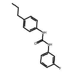 CCCc1ccc(NC(=O)Nc2cccc(F)c2)cc1